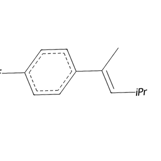 C/C(=C\C(C)C)c1ccc(F)cc1